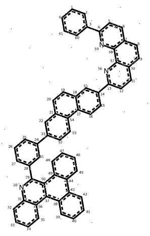 c1ccc(-c2ccc3ccc4ccc(-c5ccc6c(ccc7cc(-c8cccc(-c9nc%10ccccc%10c%10c%11ccccc%11c%11ccccc%11c9%10)c8)ccc76)c5)nc4c3n2)cc1